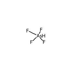 F[AsH](F)(F)F